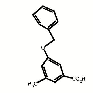 Cc1cc(OCc2ccccc2)cc(C(=O)O)c1